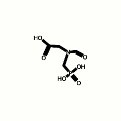 O=CN(CC(=O)O)CP(=O)(O)O